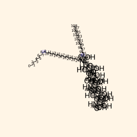 CCCCCCCC/C=C\CCCCCCCCCCCCCCCC(=O)N[C@@H](CO[C@@H]1OC(CO)[C@@H](O[C@@H]2OC(CO)[C@H](O[C@@H]3OC(CO)[C@H](O)[C@H](O[C@@H]4OC(CO)[C@H](O)[C@H](O[C@@H]5OC(CO)[C@H](O)[C@H](O)C5NC(C)=O)C4O)C3NC(C)=O)[C@H](O)C2O)[C@H](O)C1O)[C@H](O)/C=C/CCCCCCCCCCCCC